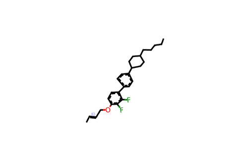 C/C=C/COc1ccc(-c2ccc(C3CCC(CCCCC)CC3)cc2)c(F)c1F